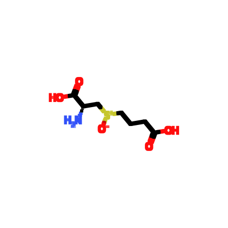 N[C@@H](C[S+]([O-])CCCC(=O)O)C(=O)O